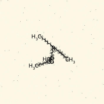 CCCCCCCCCCN(CCCCCCCCCC)CCCCCOP(=O)(O)OCCCCCCC